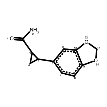 NC(=O)C1CC1c1ccc2c(c1)OCO2